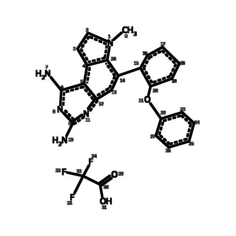 Cn1ccc2c3c(N)nc(N)nc3cc(-c3ccccc3Oc3ccccc3)c21.O=C(O)C(F)(F)F